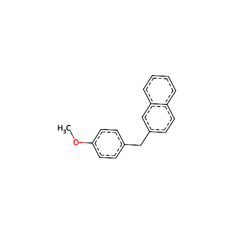 COc1ccc(Cc2ccc3ccccc3c2)cc1